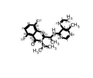 C/C=N\c1c(C)ncnc1N[C@@H](C)c1nc2c(F)ccc(F)c2c(=O)n1N(C)C